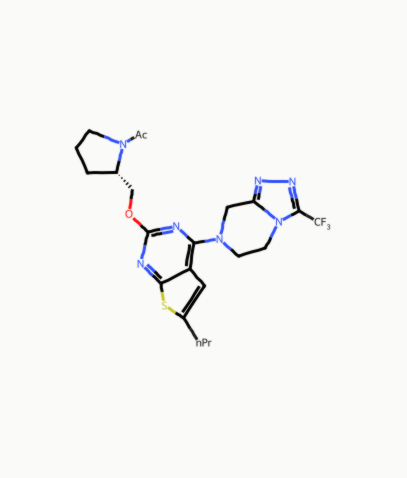 CCCc1cc2c(N3CCn4c(nnc4C(F)(F)F)C3)nc(OC[C@@H]3CCCN3C(C)=O)nc2s1